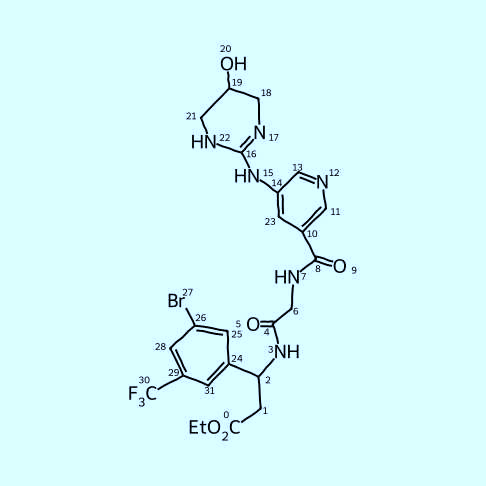 CCOC(=O)CC(NC(=O)CNC(=O)c1cncc(NC2=NCC(O)CN2)c1)c1cc(Br)cc(C(F)(F)F)c1